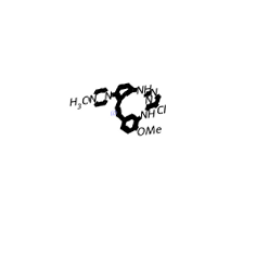 COc1ccc2cc1Nc1nc(ncc1Cl)Nc1ccc(N3CCN(C)CC3)c(c1)/C=C\2